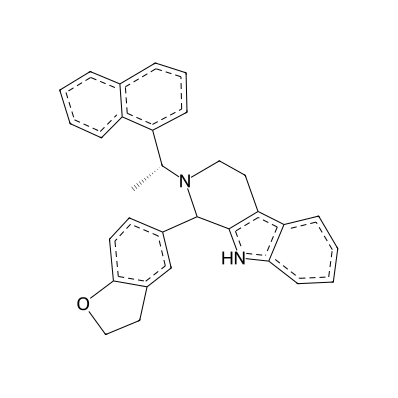 C[C@H](c1cccc2ccccc12)N1CCc2c([nH]c3ccccc23)C1c1ccc2c(c1)CCO2